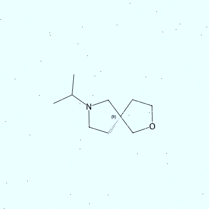 CC(C)N1CC[C@@]2(CCOC2)C1